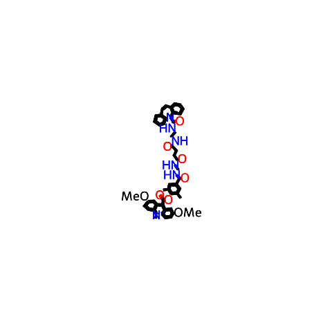 COc1ccc2c(c1)c(C(=O)Oc1c(C)cc(C(=O)NCNC(=O)CCC(=O)NCCNC(=O)N3c4ccccc4C=Cc4ccccc43)cc1C)c1cc(OC)ccc1[n+]2C